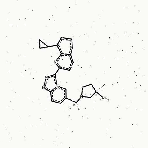 C[C@H](c1ccc2nnc(-c3ccc4cccc(C5CC5)c4n3)n2c1)N1CC[C@@](C)(N)C1